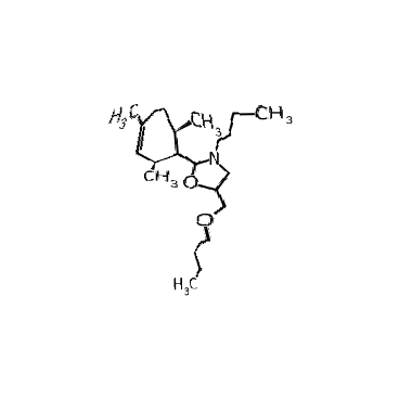 CCCCOCC1CN(CCCC)C(C2[C@H](C)CC(C)=C[C@@H]2C)O1